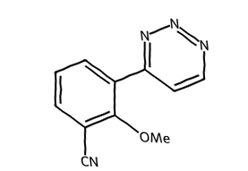 COc1c(C#N)cccc1-c1ccnnn1